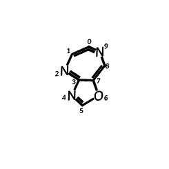 C1=CN=c2ncoc2=CN=1